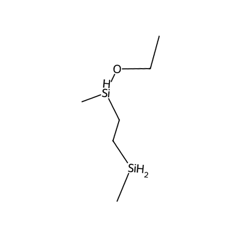 CCO[SiH](C)CC[SiH2]C